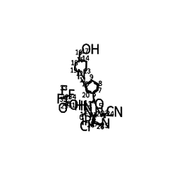 CC(C)CN(NC(=O)c1cccc(CN2CCC(CO)CC2)c1)c1nc(C#N)ncc1Cl.O=C(O)C(F)(F)F